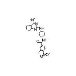 Cc1cc(C(=O)N[C@H]2CC[C@@H](Nc3nc(N(C)C)c4ccccc4n3)CC2)ccc1[N+](=O)[O-]